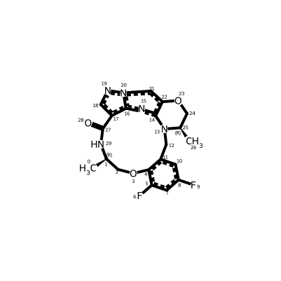 C[C@@H]1COc2c(F)cc(F)cc2CN2c3nc4c(cnn4cc3OC[C@H]2C)C(=O)N1